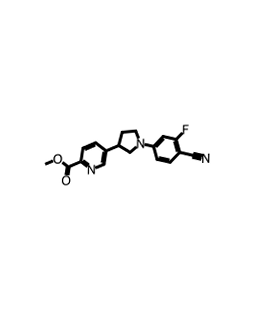 COC(=O)c1ccc(C2CCN(c3ccc(C#N)c(F)c3)C2)cn1